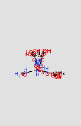 CC(=O)NC1C(O)[C@@H](O)C(CO)O[C@H]1OCCCCC(=O)NCCCNC(=O)CCOCC(COCCC(=O)NCCCNC(=O)CCCCO[C@@H]1OC2C3(CO)C(C(O)[C@H]3O)C21NC(C)=O)(COCCC(=O)NCCCNC(=O)CCCCO[C@@H]1OC2C3(CO)C(C(O)[C@H]3O)C21NC(C)=O)NC(=O)CCCCCCCCCCCNC(=O)CON